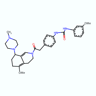 COC1=C2CCN(C(=O)Cc3ccc(NC(=O)Nc4cccc(OC)c4)cc3)C=C2C(N2CCN(C)CC2)CC1